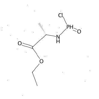 CCOC(=O)[C@H](C)N[PH](=O)Cl